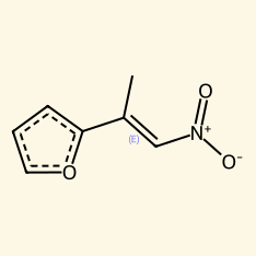 C/C(=C\[N+](=O)[O-])c1ccco1